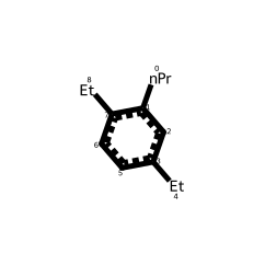 [CH2]CCc1cc(CC)ccc1CC